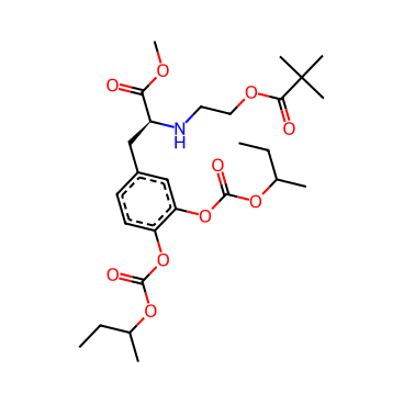 CCC(C)OC(=O)Oc1ccc(C[C@H](NCCOC(=O)C(C)(C)C)C(=O)OC)cc1OC(=O)OC(C)CC